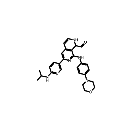 CC(C)Nc1ccc(-c2cc3c(c(Nc4ccc(N5CCOCC5)cc4)n2)C(C=O)NC=C3)cn1